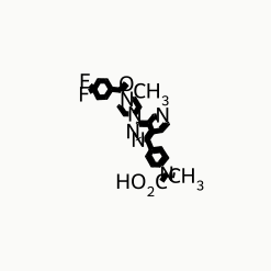 C[C@H]1CN(c2nnc(-c3ccc(N(C)C(=O)O)cc3)c3ccncc23)CCN1C(=O)C1CCC(F)(F)CC1